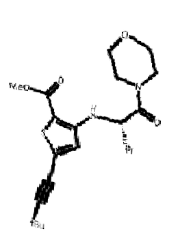 COC(=O)c1sc(C#CC(C)(C)C)cc1N[C@H](C(=O)N1CCOCC1)C(C)C